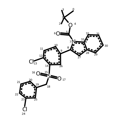 CC(C)(C)OC(=O)n1c(-c2ccc(Cl)c(S(=O)(=O)Cc3cccc(Cl)c3)c2)cc2ccccc21